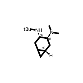 CN(C)[C@H]1C[C@@H]2CC2C[C@@H]1NC(C)(C)C